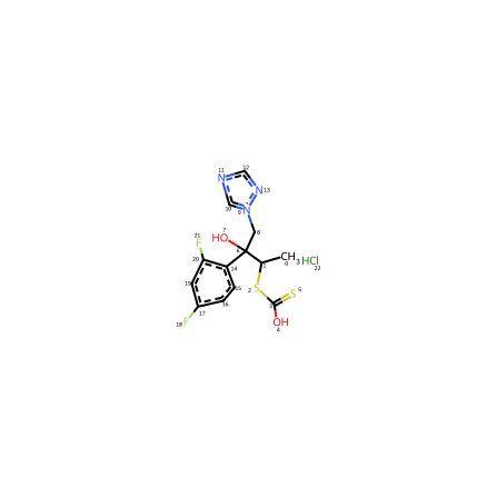 CC(SC(O)=S)C(O)(Cn1cncn1)c1ccc(F)cc1F.Cl